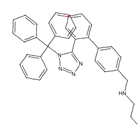 CCCNCc1ccc(-c2ccccc2-c2nnnn2C(c2ccccc2)(c2ccccc2)c2ccccc2)cc1